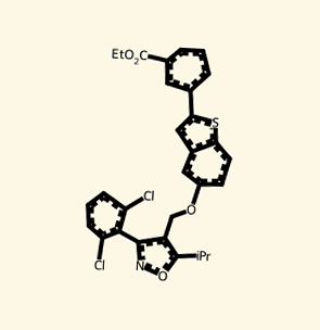 CCOC(=O)c1cccc(-c2cc3cc(OCc4c(-c5c(Cl)cccc5Cl)noc4C(C)C)ccc3s2)c1